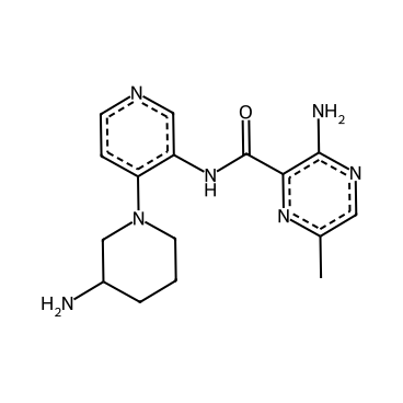 Cc1cnc(N)c(C(=O)Nc2cnccc2N2CCCC(N)C2)n1